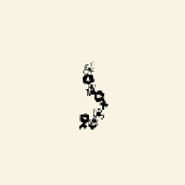 CC(C)c1ccccc1N1CCCS/C1=N\C(=O)NCC(C)(C)Cc1ccc(-c2ncn(-c3ccc(OC(F)(F)F)cc3)n2)cc1